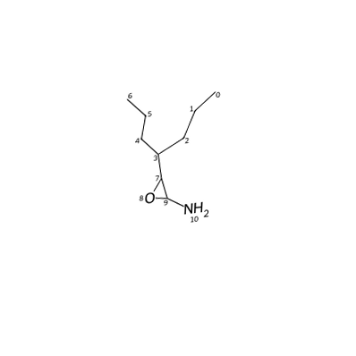 CCCC(CCC)C1OC1N